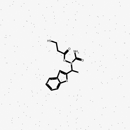 CC(c1cc2ccccc2s1)N(OC(=O)CCS)C(N)=O